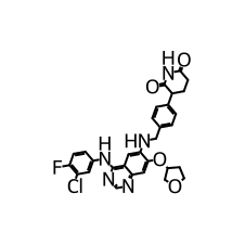 O=C1CCC(c2ccc(CNc3cc4c(Nc5ccc(F)c(Cl)c5)ncnc4cc3O[C@H]3CCOC3)cc2)C(=O)N1